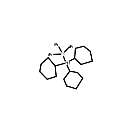 CC(C)[PH](C(C)C)(C(C)C)[PH](C1CCCCC1)(C1CCCCC1)C1CCCCC1